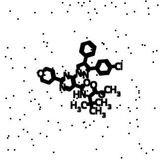 COC(=O)[C@@H](NC(=O)c1cnc(C2=CCOCC2)nc1N1CC(c2ccccc2)C(c2ccc(Cl)cc2)=N1)C(C)(C)C